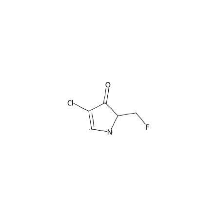 O=C1C(Cl)=[C][N]C1CF